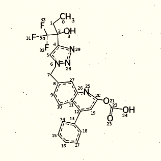 CCC(O)(c1cn(Cc2ccc3c(-c4ccccc4)cc(OC(=O)O)nc3c2)nn1)C(F)(F)F